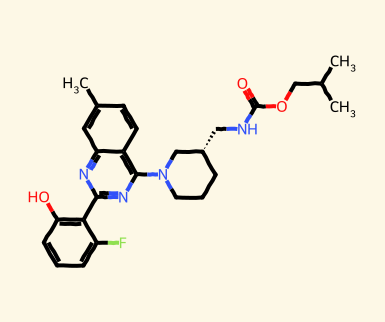 Cc1ccc2c(N3CCC[C@@H](CNC(=O)OCC(C)C)C3)nc(-c3c(O)cccc3F)nc2c1